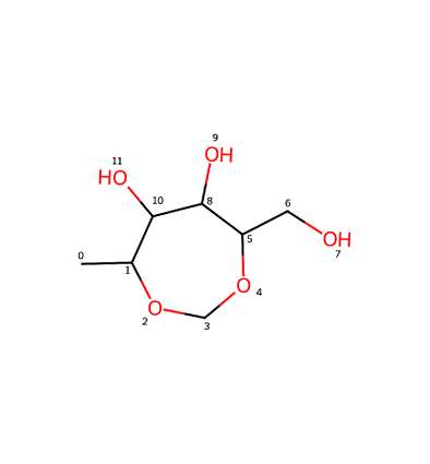 CC1OCOC(CO)C(O)C1O